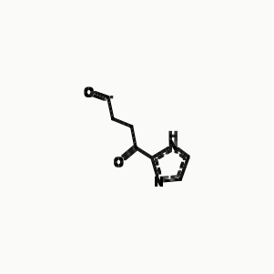 O=[C]CCC(=O)c1ncc[nH]1